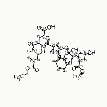 CCOC(=O)N1CCN(C(=O)C(CCC(=O)O)NC(=O)c2cc(OC(C)(C)C(=O)N3C[C@H](O)C[C@H]3C(=O)OC)n(-c3ccccc3)n2)CC1